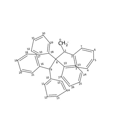 [CH2]C(c1ccccc1)C([C](c1ccccc1)c1ccccc1)(c1ccccc1)c1ccccc1